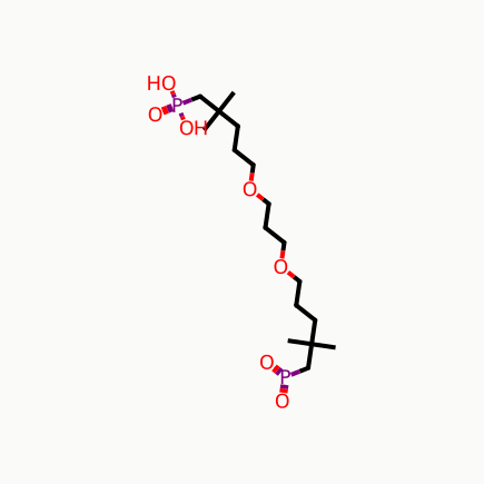 CC(C)(CCCOCCCOCCCC(C)(C)CP(=O)(O)O)CP(=O)=O